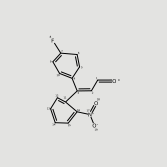 O=C/C=C(\c1ccc(F)cc1)c1ccccc1[N+](=O)[O-]